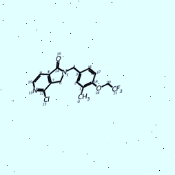 Cc1cc(CN2Cc3c(ccnc3Cl)C2=O)ccc1OCC(F)(F)F